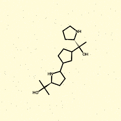 CC(C)(O)[C@@H]1CCC(C2CCC(C(C)(O)[C@@H]3CCCN3)C2)N1